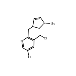 CC(C)(C)N1C=CC(Cc2ncc(Cl)cc2CO)C1